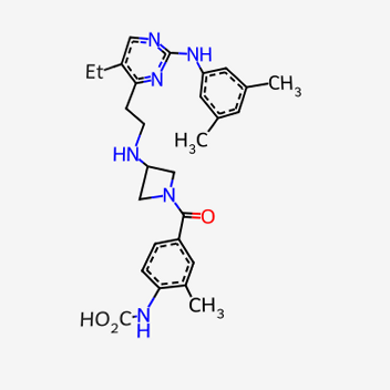 CCc1cnc(Nc2cc(C)cc(C)c2)nc1CCNC1CN(C(=O)c2ccc(NC(=O)O)c(C)c2)C1